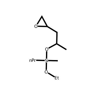 CCC[Si](C)(OCC)OC(C)CC1CO1